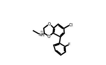 CN[C@@H]1COc2cc(Cl)cc(-c3ccccc3F)c2O1